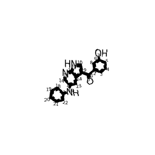 O=C(c1cccc(O)c1)c1c[nH]c2ncc(Nc3ccccc3)cc12